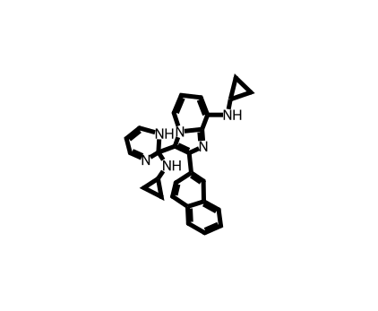 C1=CNC(NC2CC2)(c2c(-c3ccc4ccccc4c3)nc3c(NC4CC4)cccn23)N=C1